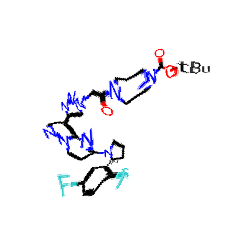 CC(C)(C)OC(=O)N1CCN(C(=O)Cn2cc(-c3cnn4ccc(N5CCC[C@@H]5c5cc(F)ccc5F)nc34)nn2)CC1